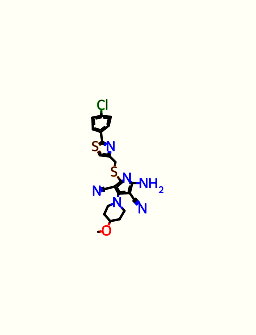 COC1CCN(c2c(C#N)c(N)nc(SCc3csc(-c4ccc(Cl)cc4)n3)c2C#N)CC1